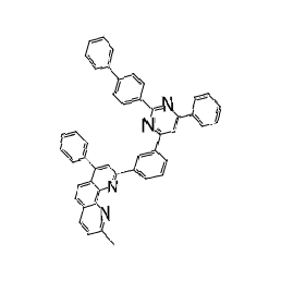 Cc1ccc2ccc3c(-c4ccccc4)cc(-c4cccc(-c5cc(-c6ccccc6)nc(-c6ccc(-c7ccccc7)cc6)n5)c4)nc3c2n1